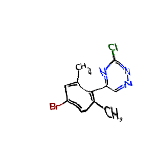 Cc1cc(Br)cc(C)c1-c1cnnc(Cl)n1